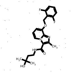 Cc1nc2c(OCc3c(F)cccc3F)cccn2c1C(=O)NCCC(C)(C)O